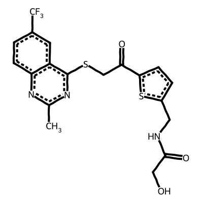 Cc1nc(SCC(=O)c2ccc(CNC(=O)CO)s2)c2cc(C(F)(F)F)ccc2n1